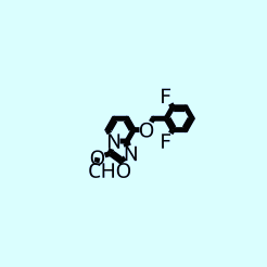 O=COc1cnc2c(OCc3c(F)cccc3F)cccn12